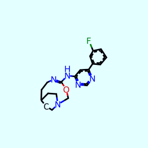 Fc1cccc(-c2cc(N/C3=N/CCC4CCN(CC4)CO3)ncn2)c1